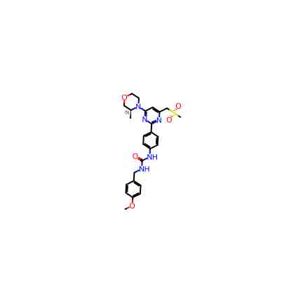 COc1ccc(CNC(=O)Nc2ccc(-c3nc(CS(C)(=O)=O)cc(N4CCOC[C@@H]4C)n3)cc2)cc1